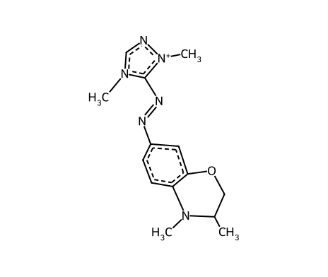 CC1COc2cc(N=Nc3n(C)cn[n+]3C)ccc2N1C